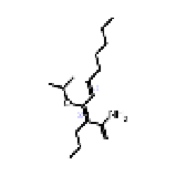 C=C(N)/C(CCC)=C(\C=C\CCCCC)OC(C)C